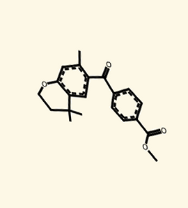 COC(=O)c1ccc(C(=O)c2cc3c(cc2C)OCCC3(C)C)cc1